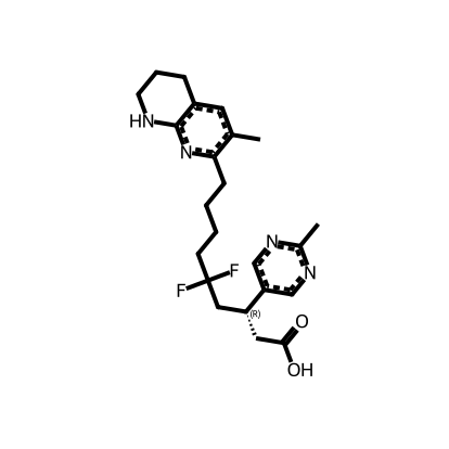 Cc1ncc([C@H](CC(=O)O)CC(F)(F)CCCCc2nc3c(cc2C)CCCN3)cn1